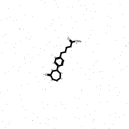 COC(=O)CCCCc1ccc(C2CCCCC(=O)C2)cc1